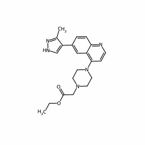 CCOC(=O)CN1CCN(c2ccnc3ccc(-c4c[nH]nc4C)cc23)CC1